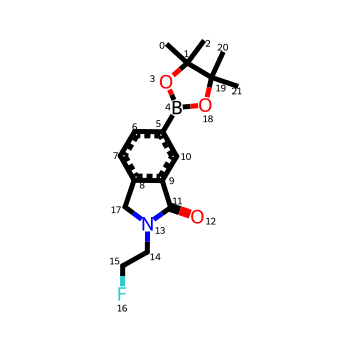 CC1(C)OB(c2ccc3c(c2)C(=O)N(CCF)C3)OC1(C)C